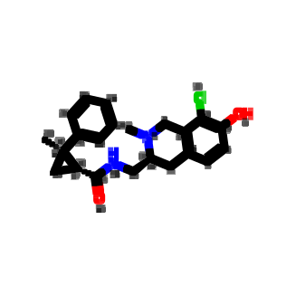 CN1Cc2c(ccc(O)c2Cl)C[C@H]1CNC(=O)[C@@H]1C[C@@]1(C)c1ccccc1